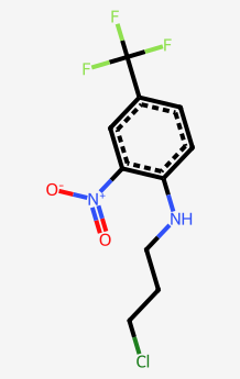 O=[N+]([O-])c1cc(C(F)(F)F)ccc1NCCCCl